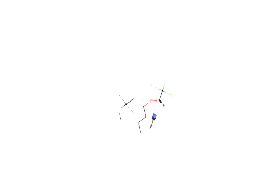 CC#N.CCCCO.COC(C)(C)C.O.O=C(O)C(F)(F)F